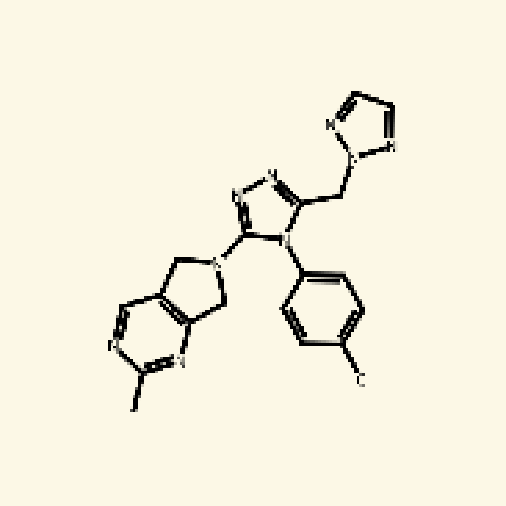 Cc1ncc2c(n1)CN(c1nnc(Cn3nccn3)n1-c1ccc(Cl)cc1)C2